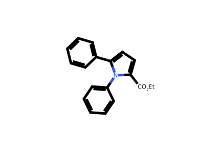 CCOC(=O)c1ccc(-c2ccccc2)n1-c1ccccc1